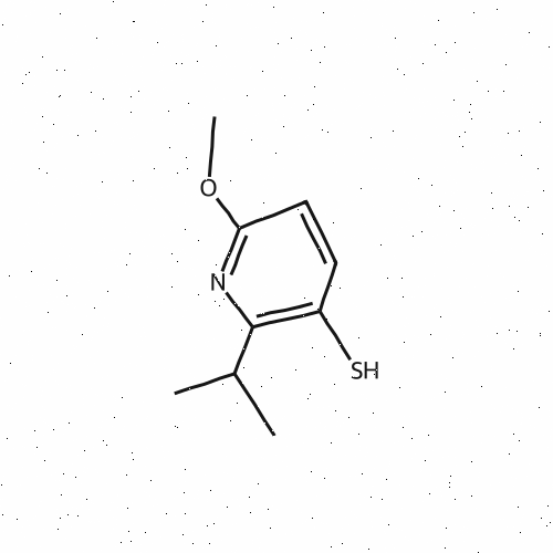 COc1ccc(S)c(C(C)C)n1